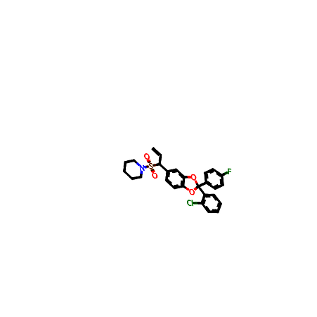 C=CC(c1ccc2c(c1)OC(c1ccc(F)cc1)(c1ccccc1Cl)O2)S(=O)(=O)N1CCCCC1